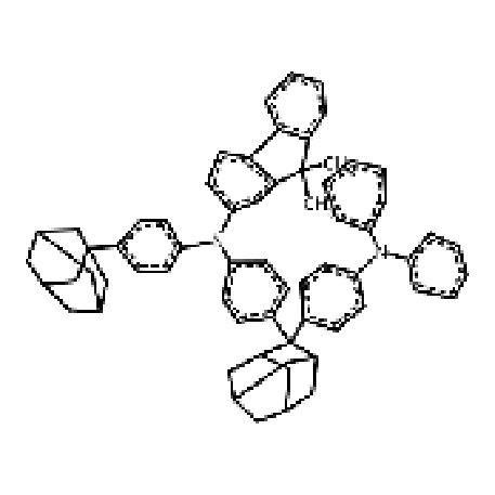 CC1(C)c2ccccc2-c2ccc(N(c3ccc(C45CC6CC(CC(C6)C4)C5)cc3)c3ccc(C4(c5ccc(N(c6ccccc6)c6ccccc6)cc5)C5CC6CC(C5)CC4C6)cc3)cc21